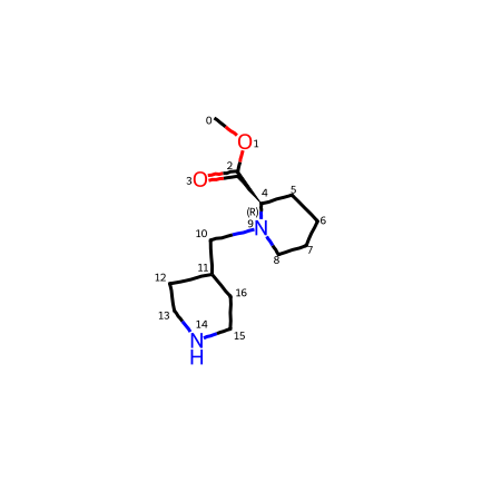 COC(=O)[C@H]1CCCCN1CC1CCNCC1